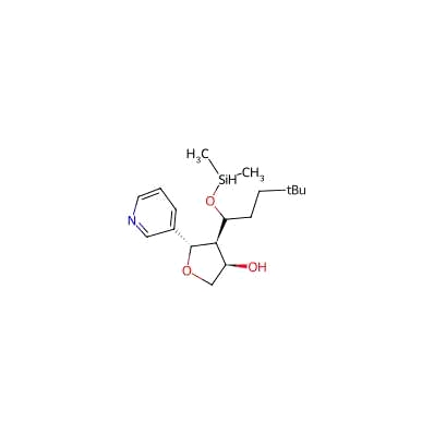 C[SiH](C)OC(CCC(C)(C)C)[C@@H]1[C@@H](c2cccnc2)OC[C@@H]1O